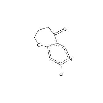 O=C1CCCOc2cc(Cl)ncc21